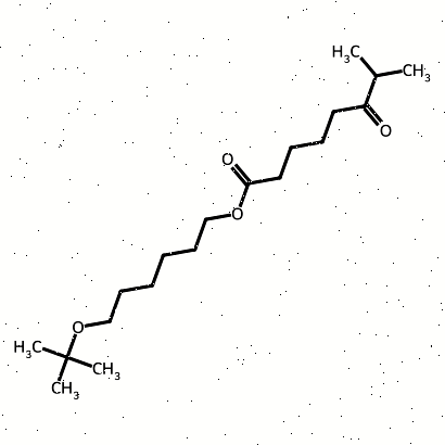 CC(C)C(=O)CCCCC(=O)OCCCCCCOC(C)(C)C